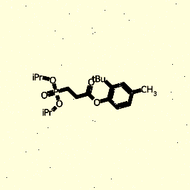 Cc1ccc(OC(=O)CCP(=O)(OC(C)C)OC(C)C)c(C(C)(C)C)c1